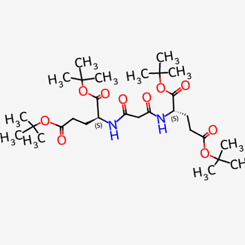 CC(C)(C)OC(=O)CC[C@H](NC(=O)CC(=O)N[C@@H](CCC(=O)OC(C)(C)C)C(=O)OC(C)(C)C)C(=O)OC(C)(C)C